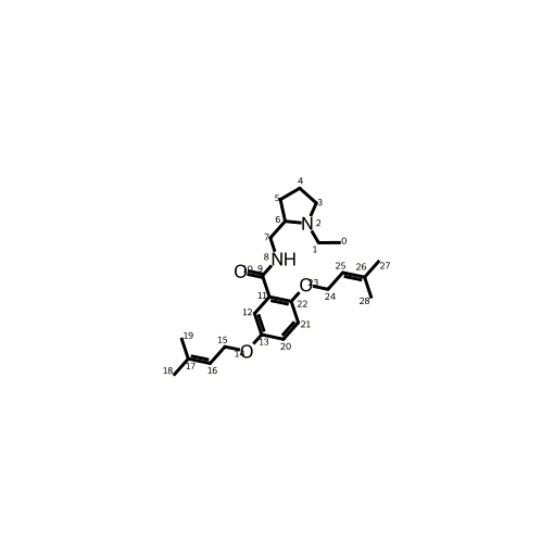 CCN1CCCC1CNC(=O)c1cc(OCC=C(C)C)ccc1OCC=C(C)C